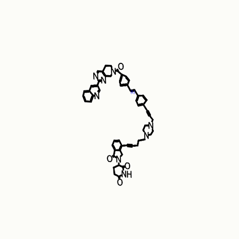 O=C1CCC(N2Cc3c(C#CCCCN4CCN(CC#Cc5ccc(/C=C/c6ccc(C(=O)N7CCc8cnc(-c9cnc%10ccccc%10c9)nc8C7)cc6)cc5)CC4)cccc3C2=O)C(=O)N1